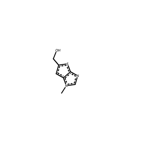 Cn1cnc2sc(CO)cc21